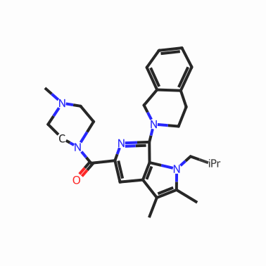 Cc1c(C)n(CC(C)C)c2c(N3CCc4ccccc4C3)nc(C(=O)N3CCN(C)CC3)cc12